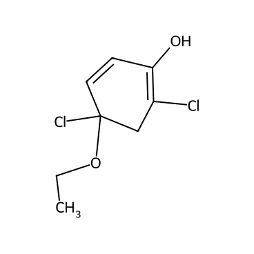 CCOC1(Cl)C=CC(O)=C(Cl)C1